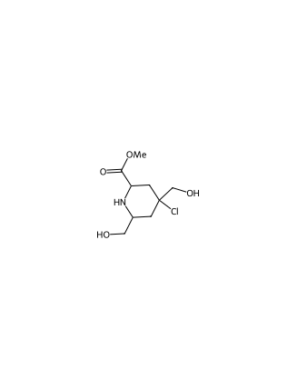 COC(=O)C1CC(Cl)(CO)CC(CO)N1